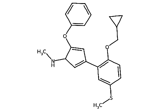 CNC1C=C(c2cc(SC)ccc2OCC2CC2)C=C1Oc1ccccc1